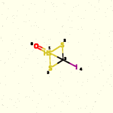 O=[SH]12SC1(I)S2